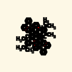 CC(C)c1cc(C(C)C)c(-c2cc3c4c(cc5c(-c6c(C(C)C)cc(C(C)C)cc6C(C)C)cc6c7c(cc2c4c57)B2c4ccccc4N(c4ccccc4-c4ccccc4)c4cccc-6c42)B2c4ccccc4N(c4ccccc4-c4ccccc4)c4cccc-3c42)c(C(C)C)c1